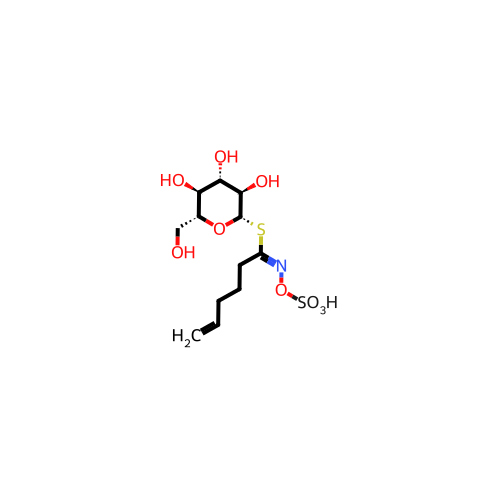 C=CCCC/C(=N\OS(=O)(=O)O)S[C@@H]1O[C@H](CO)[C@@H](O)[C@H](O)[C@H]1O